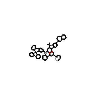 CC1(C)c2cc(-c3ccc4ccccc4c3)ccc2-c2ccc(N(c3ccc4c(c3)C(c3ccccc3)(c3ccccc3)c3ccccc3-4)c3ccccc3-c3cccc(-c4ccccc4)c3)cc21